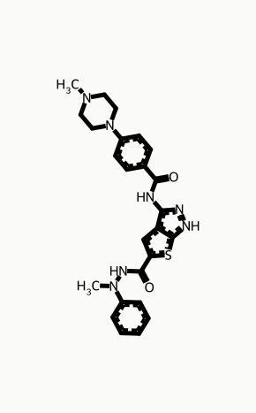 CN1CCN(c2ccc(C(=O)Nc3n[nH]c4sc(C(=O)NN(C)c5ccccc5)cc34)cc2)CC1